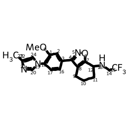 COc1cc(-c2noc3c2CCCC3NCC(F)(F)F)ccc1-n1cnc(C)c1